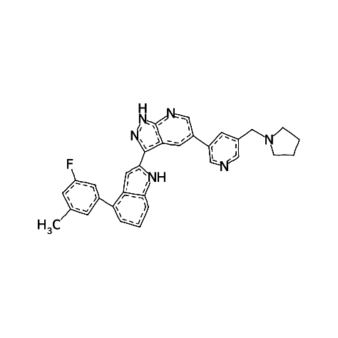 Cc1cc(F)cc(-c2cccc3[nH]c(-c4n[nH]c5ncc(-c6cncc(CN7CCCC7)c6)cc45)cc23)c1